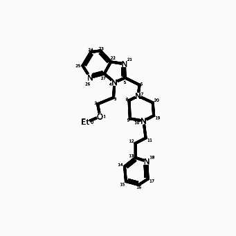 CCOCCn1c(CN2CCN(CCc3ccccn3)CC2)nc2cccnc21